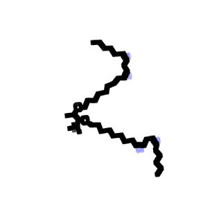 CCCCC/C=C\C/C=C\CCCCCCCCOC(C)C(OCCCCCCCC/C=C\C/C=C\CCCCC)N(C)C